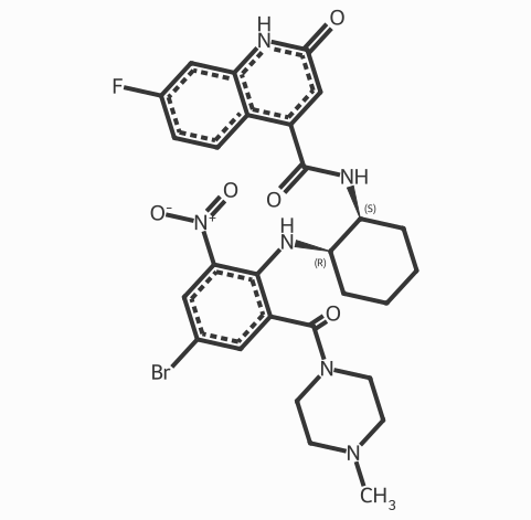 CN1CCN(C(=O)c2cc(Br)cc([N+](=O)[O-])c2N[C@@H]2CCCC[C@@H]2NC(=O)c2cc(=O)[nH]c3cc(F)ccc23)CC1